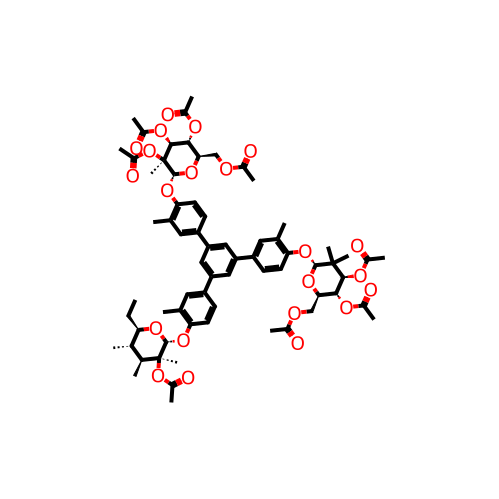 CC[C@H]1O[C@H](Oc2ccc(-c3cc(-c4ccc(O[C@H]5O[C@H](COC(C)=O)[C@@H](OC(C)=O)[C@H](OC(C)=O)C5(C)C)c(C)c4)cc(-c4ccc(O[C@H]5O[C@H](COC(C)=O)[C@@H](OC(C)=O)[C@H](OC(C)=O)[C@]5(C)OC(C)=O)c(C)c4)c3)cc2C)[C@@](C)(OC(C)=O)[C@@H](C)[C@@H]1C